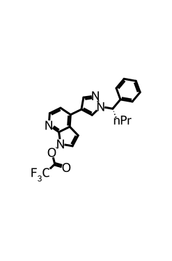 CCC[C@@H](c1ccccc1)n1cc(-c2ccnc3c2ccn3OC(=O)C(F)(F)F)cn1